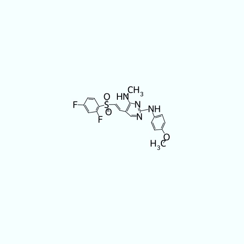 CNc1nc(Nc2ccc(OC)cc2)ncc1C=CS(=O)(=O)c1ccc(F)cc1F